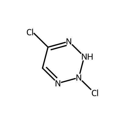 ClC1=NNN(Cl)N=C1